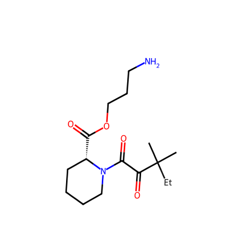 CCC(C)(C)C(=O)C(=O)N1CCCC[C@@H]1C(=O)OCCCN